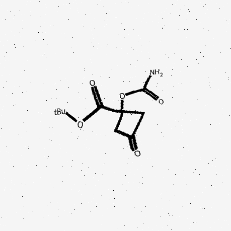 CC(C)(C)OC(=O)C1(OC(N)=O)CC(=O)C1